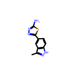 Cc1n[nH]c2ccc(-c3nnc(N)s3)cc12